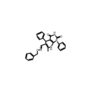 CC1=C(/C=N/OCc2ccccc2)C(c2ccccc2)c2c(n(-c3ccccc3)c(=O)[nH]c2=O)N1